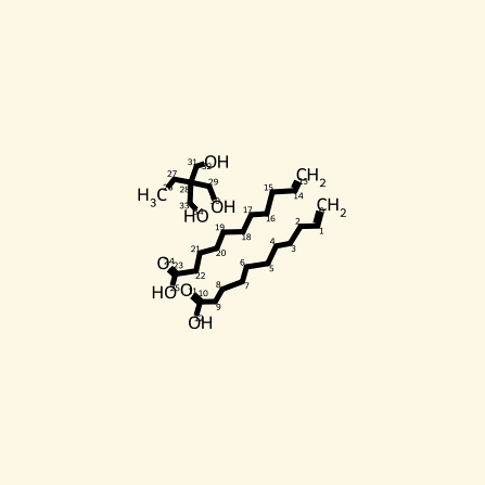 C=CCCCCCCCCC(=O)O.C=CCCCCCCCCC(=O)O.CCC(CO)(CO)CO